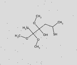 COC(O)(CC(C)S)C([SiH3])(OC)OC